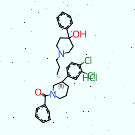 Cl.O=C(c1ccccc1)N1CCC[C@](CCCN2CCC(O)(c3ccccc3)CC2)(c2ccc(Cl)c(Cl)c2)C1